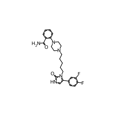 NC(=O)c1ccccc1N1CCN(CCCCCn2c(-c3ccc(F)c(F)c3)c[nH]c2=O)CC1